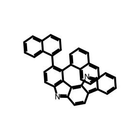 c1ccc2c(c1)=Nc1c3c(ccc1=2)=Nc1ccc(-c2cccc4ccccc24)c(-c2cccc4ccccc24)c1-3